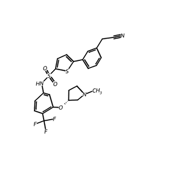 CN1CC[C@@H](Oc2cc(NS(=O)(=O)c3ccc(-c4cccc(CC#N)c4)s3)ccc2C(F)(F)F)C1